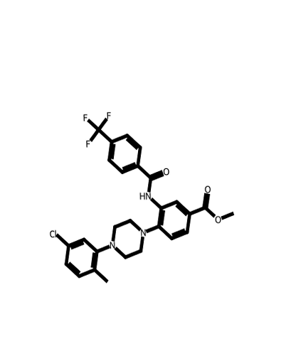 COC(=O)c1ccc(N2CCN(c3cc(Cl)ccc3C)CC2)c(NC(=O)c2ccc(C(F)(F)F)cc2)c1